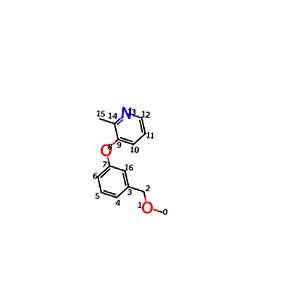 COCc1cccc(Oc2cccnc2C)c1